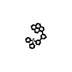 C=P(c1ccccc1)(c1ccccc1)c1cccc(-c2cccc(-c3ccc4ccc5cccc6ccc3c4c56)c2)c1